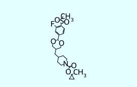 CC1(OC(=O)N2CCC(CC3COC(c4ccc(S(C)(=O)=O)c(F)c4)OC3)CC2)CC1